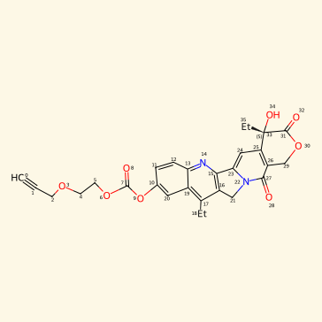 C#CCOCCOC(=O)Oc1ccc2nc3c(c(CC)c2c1)Cn1c-3cc2c(c1=O)COC(=O)[C@]2(O)CC